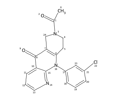 CC(=O)N1CCc2c(c(=O)c3cccnc3n2-c2cccc(Cl)c2)C1